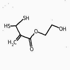 C=C(C(=O)OCCO)C(S)S